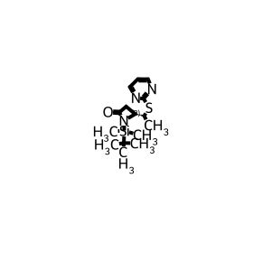 CC(Sc1ncccn1)[C@H]1CC(=O)N1[Si](C)(C)C(C)(C)C